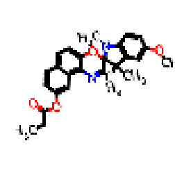 CCC(=O)Oc1ccc2ccc3c(c2c1)N=CC1(O3)N(C)c2ccc(OC)cc2C1(C)C